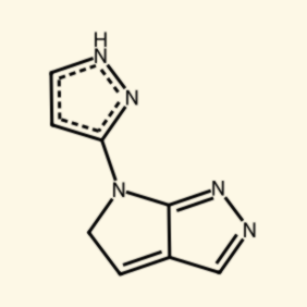 C1=NN=C2C1=CCN2c1cc[nH]n1